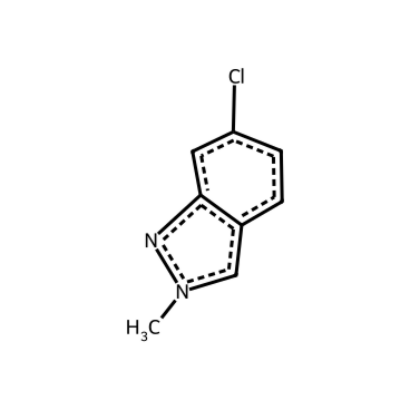 Cn1cc2ccc(Cl)cc2n1